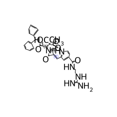 CC1(C)[C@H](C(=O)OC(c2ccccc2)c2ccccc2)N2C(=O)/C(=C/c3cc(C(=O)NCCNC(=N)N)ccn3)[C@H]2S1(=O)=O